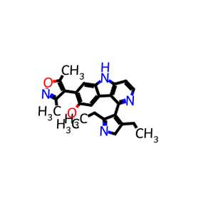 CCC1=NCC(CC)=C1c1nccc2[nH]c3cc(-c4c(C)noc4C)c(OC)cc3c12